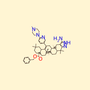 CN1CCN(c2ccc(C3=C4C5CC(C)(C)CC[C@]5(C(=O)OCc5ccccc5)CC[C@@]4(C)[C@]4(C)CCC5C(C)(C)c6n[nH]c(N)c6C[C@]5(C)C4C3)cn2)CC1